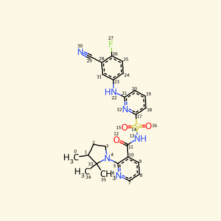 CC1CCN(c2ncccc2C(=O)NS(=O)(=O)c2cccc(Nc3ccc(F)c(C#N)c3)n2)C1(C)C